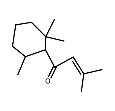 CC(C)=CC(=O)C1C(C)CCCC1(C)C